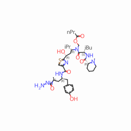 CCCC(=O)OCN(C(=O)[C@@H](NC(=O)[C@H]1CCCCN1C)C(C)CC)[C@H](C[C@@H](O)c1nc(C(=O)N[C@@H](Cc2ccc(O)cc2)C[C@H](C)C(=O)NN)cs1)C(C)C